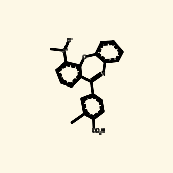 Cc1cc(C2=Nc3ccccc3Oc3c2cccc3[S+](C)[O-])ccc1C(=O)O